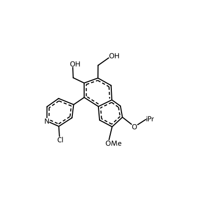 COc1cc2c(-c3ccnc(Cl)c3)c(CO)c(CO)cc2cc1OC(C)C